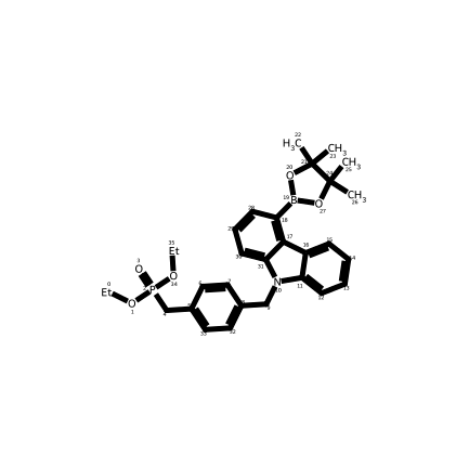 CCOP(=O)(Cc1ccc(Cn2c3ccccc3c3c(B4OC(C)(C)C(C)(C)O4)cccc32)cc1)OCC